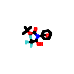 CC(C)(C)OC(=O)N(C(O)C(F)(F)F)C12CCC(CC1)OC2